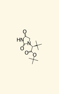 CC(C)(C)OC(=O)[C@@H](N1CC(=O)NC1=O)C(C)(C)C